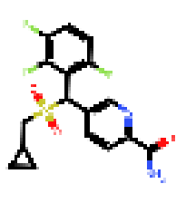 NC(=O)c1ccc(C(c2c(F)ccc(F)c2F)S(=O)(=O)CC2CC2)cn1